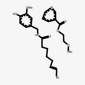 CCCCOCCOC(=O)c1cccnc1.COc1cc(CNC(=O)CCCC/C=C/C(C)C)ccc1O